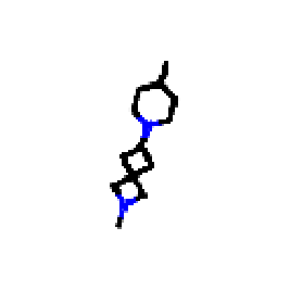 CC1CCN(C2CC3(C2)CN(C)C3)CC1